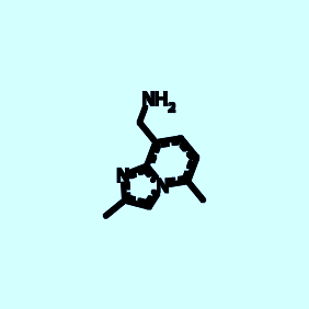 Cc1cn2c(C)ccc(CN)c2n1